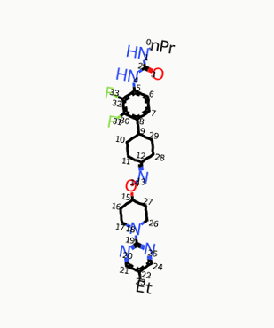 CCCNC(=O)Nc1ccc(C2CCC(=NOC3CCN(c4ncc(CC)cn4)CC3)CC2)c(F)c1F